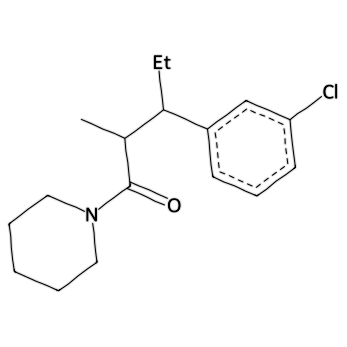 CCC(c1cccc(Cl)c1)C(C)C(=O)N1CCCCC1